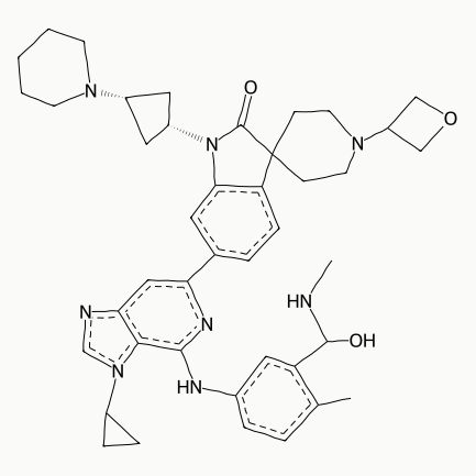 CNC(O)c1cc(Nc2nc(-c3ccc4c(c3)N([C@H]3C[C@@H](N5CCCCC5)C3)C(=O)C43CCN(C4COC4)CC3)cc3ncn(C4CC4)c23)ccc1C